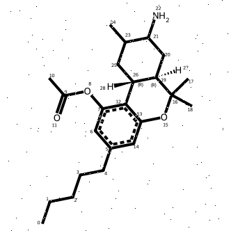 CCCCCc1cc(OC(C)=O)c2c(c1)OC(C)(C)[C@@H]1CC(N)C(C)C[C@@H]21